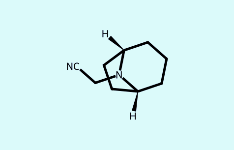 N#CCN1[C@@H]2CCC[C@H]1CC2